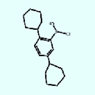 OB(O)c1cc(C2CCCCC2)ccc1C1CCCCC1